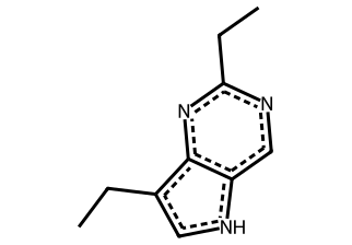 CCc1ncc2[nH]cc(CC)c2n1